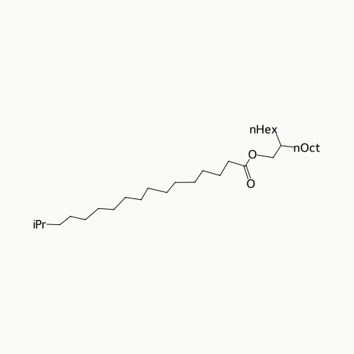 CCCCCCCCC(CCCCCC)COC(=O)CCCCCCCCCCCCCCC(C)C